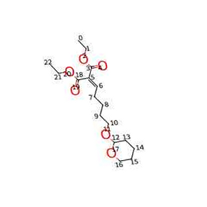 CCOC(=O)C(=CCCCCOC1CCCCO1)C(=O)OCC